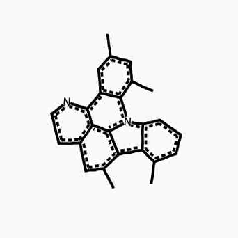 Cc1cc(C)c2c(c1)c1nccc3cc(C)c4c5c(C)cccc5n2c4c31